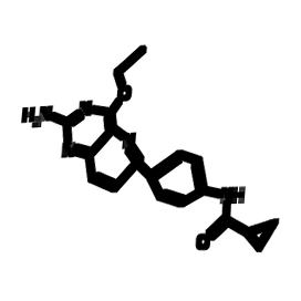 CCOc1nc(N)nc2ccc(-c3ccc(NC(=O)C4CC4)cc3)nc12